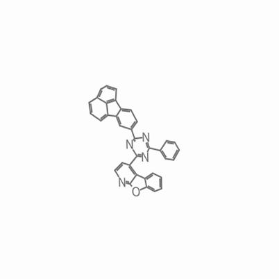 c1ccc(-c2nc(-c3ccc4c(c3)-c3cccc5cccc-4c35)nc(-c3ccnc4oc5ccccc5c34)n2)cc1